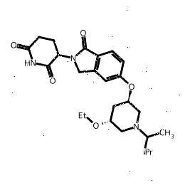 CCO[C@@H]1C[C@@H](Oc2ccc3c(c2)CN(C2CCC(=O)NC2=O)C3=O)CN(C(C)C(C)C)C1